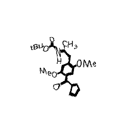 COc1cc(C(=O)C2=CC=CC2)c(OC)cc1C[C@@H](C)NC(=O)OC(C)(C)C